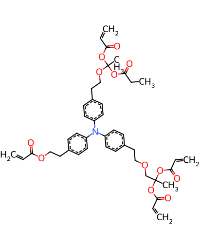 C=CC(=O)OCCc1ccc(N(c2ccc(CCOCC(C)(OC(=O)C=C)OC(=O)C=C)cc2)c2ccc(CCOC(C)(OC(=O)C=C)OC(=O)CC)cc2)cc1